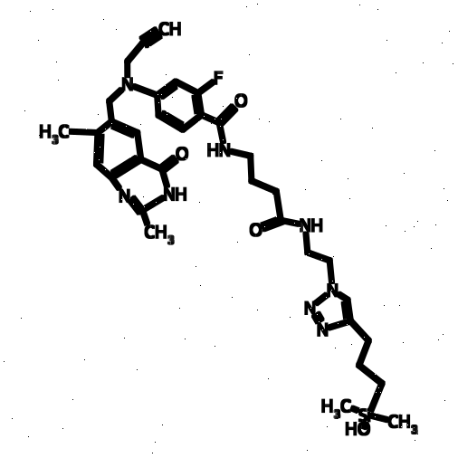 C#CCN(Cc1cc2c(=O)[nH]c(C)nc2cc1C)c1ccc(C(=O)NCCCC(=O)NCCn2cc(CCC[Si](C)(C)O)nn2)c(F)c1